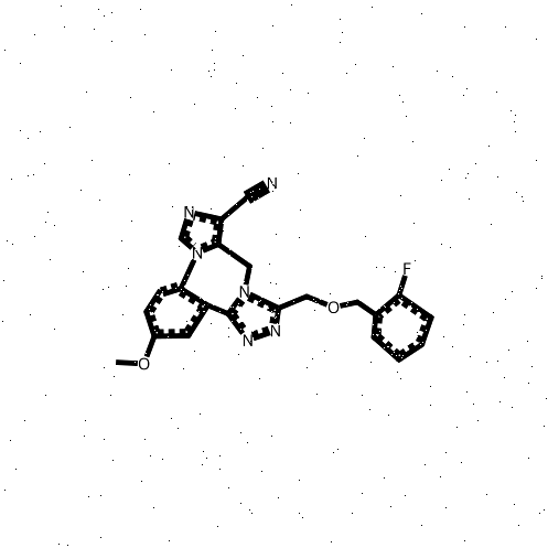 COc1ccc2c(c1)-c1nnc(COCc3ccccc3F)n1Cc1c(C#N)ncn1-2